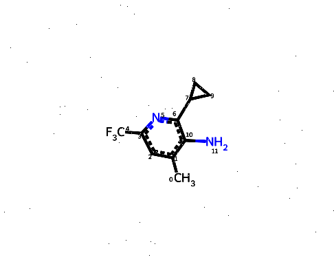 Cc1cc(C(F)(F)F)nc(C2CC2)c1N